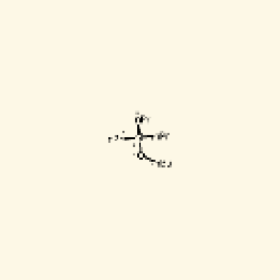 CCCCO[Si](CCC)(CCC)CCC